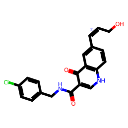 O=C(NCc1ccc(Cl)cc1)c1c[nH]c2ccc(/C=C\CO)cc2c1=O